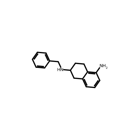 Nc1cccc2c1CCC(NCc1ccccc1)C2